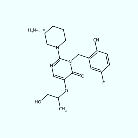 CC(CO)Oc1cnc(N2CCC[C@@H](N)C2)n(Cc2cc(F)ccc2C#N)c1=O